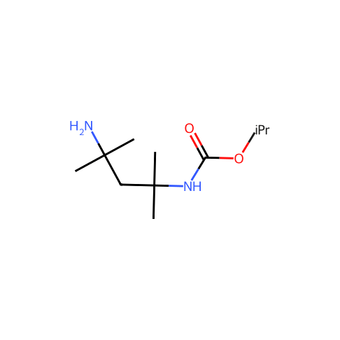 CC(C)OC(=O)NC(C)(C)CC(C)(C)N